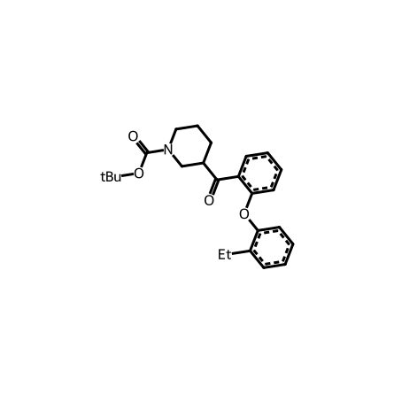 CCc1ccccc1Oc1ccccc1C(=O)C1CCCN(C(=O)OC(C)(C)C)C1